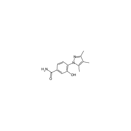 Cc1nn(-c2ccc(C(N)=O)cc2O)c(C)c1C